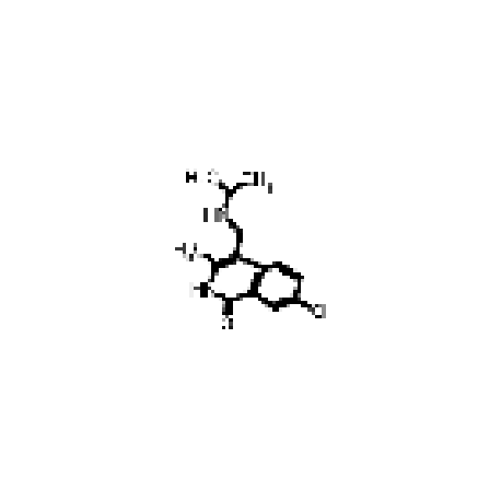 Cc1[nH]c(=O)c2cc(Cl)ccc2c1CNC(C)C